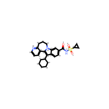 O=C(NS(=O)(=O)C1CC1)c1ccc2c(C3CCCCC3)c3n(c2c1)CCCc1ncccc1-3